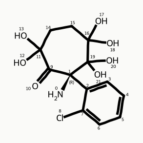 N[C@@]1(c2ccccc2Cl)C(=O)C(O)(O)CCC(O)(O)C1(O)O